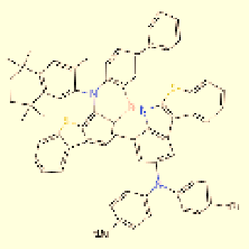 Cc1cc2c(cc1N1c3ccc(-c4ccccc4)cc3B3c4c(cc5c(sc6ccccc65)c41)-c1cc(N(c4ccc(C(C)(C)C)cc4)c4ccc(C(C)(C)C)cc4)cc4c5c6ccccc6sc5n3c14)C(C)(C)CCC2(C)C